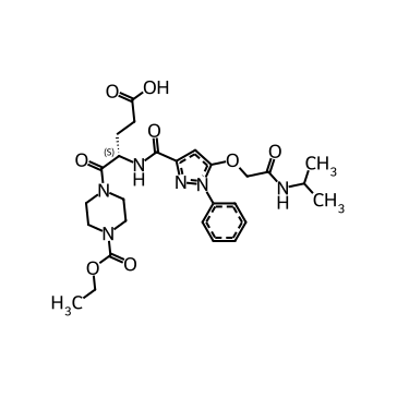 CCOC(=O)N1CCN(C(=O)[C@H](CCC(=O)O)NC(=O)c2cc(OCC(=O)NC(C)C)n(-c3ccccc3)n2)CC1